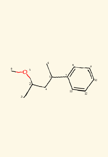 COC(C)CC(C)c1ccccc1